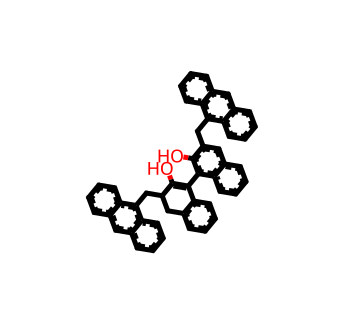 OC1=C(c2c(O)c(Cc3c4ccccc4cc4ccccc34)cc3ccccc23)c2ccccc2CC1Cc1c2ccccc2cc2ccccc12